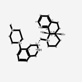 CN1CCN(c2cccc3c2C[C@H](CN2CCC[C@H]4CCc5cccnc5[C@H]42)NC3)CC1